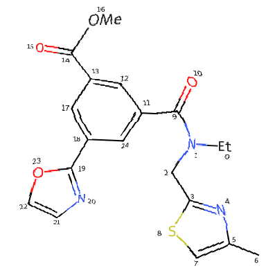 CCN(Cc1nc(C)cs1)C(=O)c1cc(C(=O)OC)cc(-c2ncco2)c1